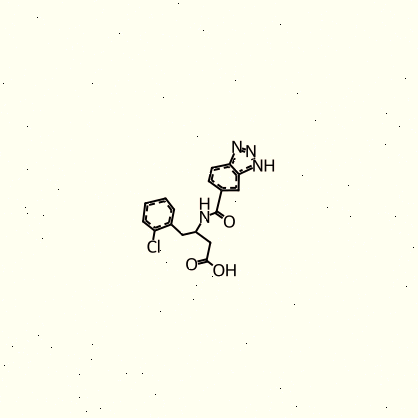 O=C(O)CC(Cc1ccccc1Cl)NC(=O)c1ccc2nn[nH]c2c1